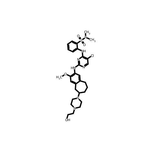 COc1cc2c(cc1Nc1ncc(Cl)c(Nc3ccccc3S(=O)(=O)N(C)C)n1)CCCC(N1CCN(CCO)CC1)C2